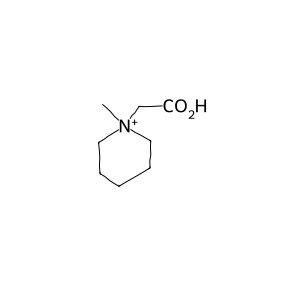 C[N+]1(CC(=O)O)CCCCC1